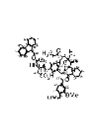 C=CC(=O)OCC(C)(C)C(=O)C(=O)N1CCCCC1C(=O)O[C@H](CCc1ccc(OC)c(OC)c1)c1cccc(NC(=O)C(CC(=O)O)NC(=O)OCC2c3ccccc3-c3ccccc32)c1